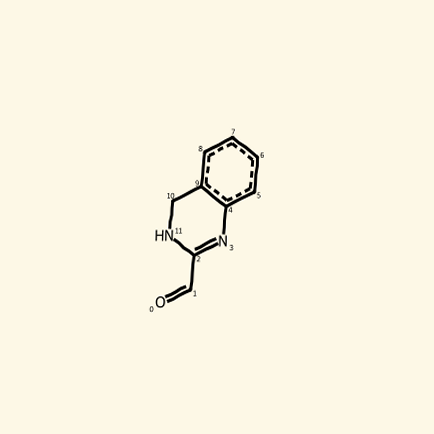 O=CC1=Nc2ccccc2CN1